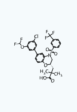 CC(C)(C[C@H]1CN(S(=O)(=O)c2cccc(C(F)(F)F)c2)c2cc(-c3cc(Cl)cc(OC(F)F)c3)ccc2O1)C(=O)O